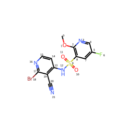 COc1ncc(F)cc1S(=O)(=O)Nc1ccnc(Br)c1C#N